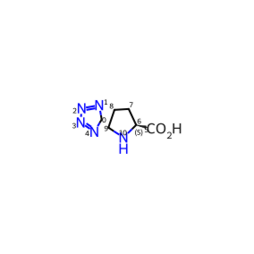 C1N=NN=N1.O=C(O)[C@@H]1CCCN1